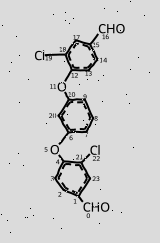 O=Cc1ccc(Oc2cccc(Oc3ccc(C=O)cc3Cl)c2)c(Cl)c1